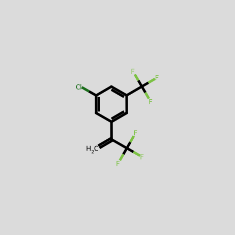 C=C(c1cc(Cl)cc(C(F)(F)F)c1)C(F)(F)F